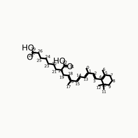 CC(C=CC1=C(C)CCCC1(C)C)=CC=CC(C)=CCC(CCCCCCC(=O)O)C(=O)O